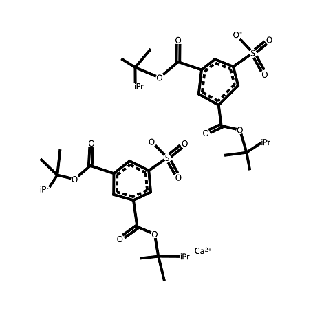 CC(C)C(C)(C)OC(=O)c1cc(C(=O)OC(C)(C)C(C)C)cc(S(=O)(=O)[O-])c1.CC(C)C(C)(C)OC(=O)c1cc(C(=O)OC(C)(C)C(C)C)cc(S(=O)(=O)[O-])c1.[Ca+2]